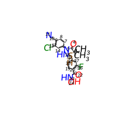 CC1(C)C(=O)N(c2ccc(C#N)c(Cl)c2)N[SH]1c1ccc(C(=O)NO)c(F)c1